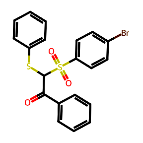 O=C(c1ccccc1)C(Sc1ccccc1)S(=O)(=O)c1ccc(Br)cc1